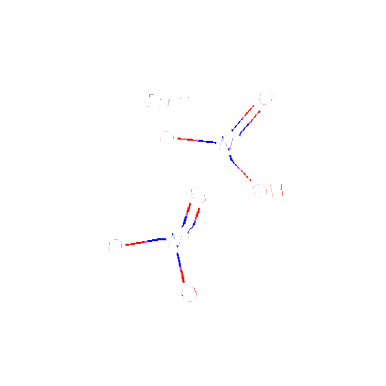 O=[N+]([O-])O.O=[N+]([O-])[O-].[Ru+3]